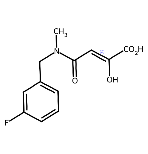 CN(Cc1cccc(F)c1)C(=O)/C=C(\O)C(=O)O